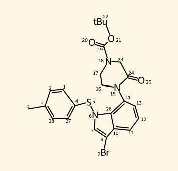 Cc1ccc(Sn2cc(Br)c3cccc(N4CCN(C(=O)OC(C)(C)C)CC4=O)c32)cc1